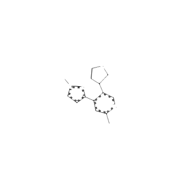 Cc1cc(-c2ccn(C)n2)c(C2CCNC2)cn1.Cl